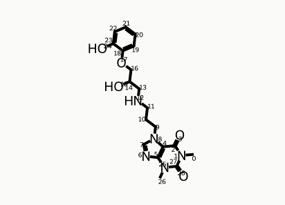 Cn1c(=O)c2c(ncn2CCCNCC(O)COc2ccccc2O)n(C)c1=O